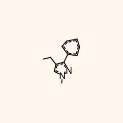 CCc1cn(C)nc1-c1ccccc1